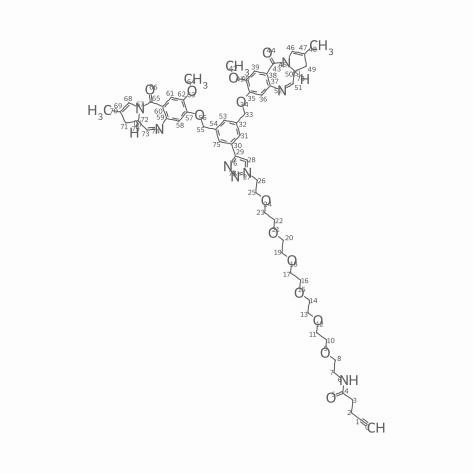 C#CCCC(=O)NCCOCCOCCOCCOCCOCCOCCn1cc(-c2cc(COc3cc4c(cc3OC)C(=O)N3C=C(C)C[C@H]3C=N4)cc(COc3cc4c(cc3OC)C(=O)N3C=C(C)C[C@H]3C=N4)c2)nn1